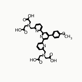 COc1ccc(-c2cc(-c3cccc(CN(CC(=O)O)CC(=O)O)n3)nc(-c3cccc(CN(CC(=O)O)CC(=O)O)n3)c2)cc1